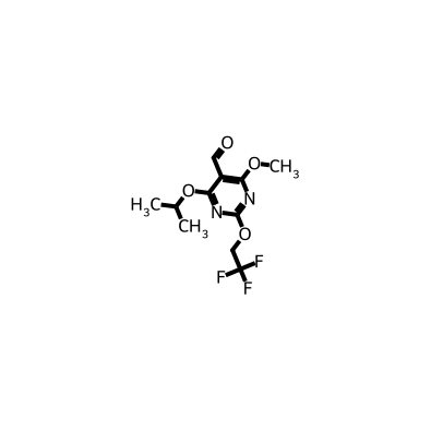 COc1nc(OCC(F)(F)F)nc(OC(C)C)c1C=O